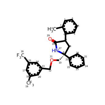 Cc1ccccc1C1C[C@@](COCc2cc(C(F)(F)F)cc(C(F)(F)F)c2)(c2ccccc2)NC1=O